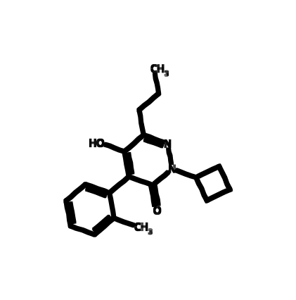 CCCc1nn(C2CCC2)c(=O)c(-c2ccccc2C)c1O